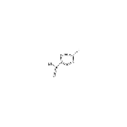 CCC(=O)c1ccc(F)nc1